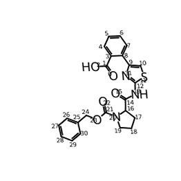 O=C(O)c1ccccc1-c1csc(NC(=O)C2CCCN2C(=O)OCc2ccccc2)n1